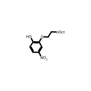 CCCCCCCCCCOc1cc([N+](=O)[O-])ccc1O